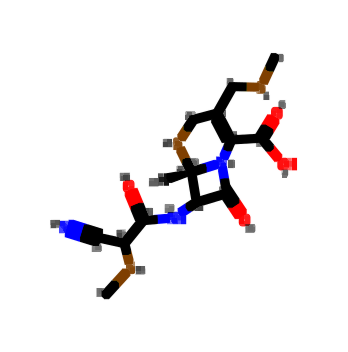 CSCC1=C(C(=O)O)N2C(=O)C(NC(=O)C(C#N)SC)[C@@H]2SC1